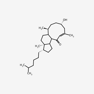 C/C1=C\C(=O)C2C(CC[C@@]3(C)C2CC[C@@H]3CCCCC(C)C)[C@@H](C)CC[C@H](O)C1